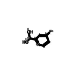 OB(O)c1cc(F)ccn1